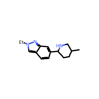 CCn1cc2ccc(C3CCC(C)CN3)cc2n1